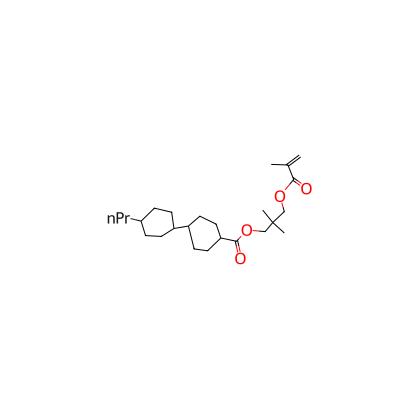 C=C(C)C(=O)OCC(C)(C)COC(=O)C1CCC(C2CCC(CCC)CC2)CC1